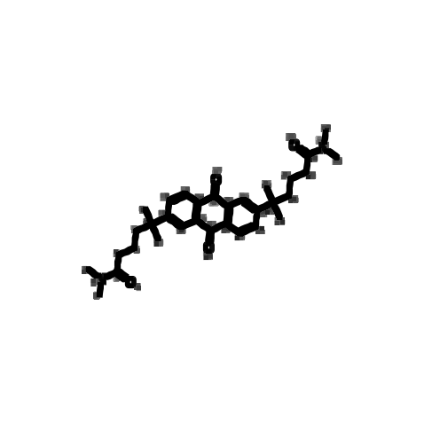 CN(C)C(=O)CCCC(C)(C)c1ccc2c(c1)C(=O)c1ccc(C(C)(C)CCCC(=O)N(C)C)cc1C2=O